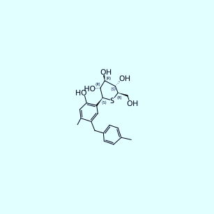 Cc1ccc(Cc2cc([C@@H]3S[C@H](CO)[C@@H](O)[C@H](O)[C@H]3O)c(O)cc2C)cc1